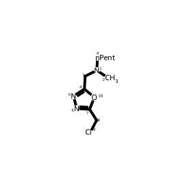 CCCCCN(C)Cc1nnc(CCl)o1